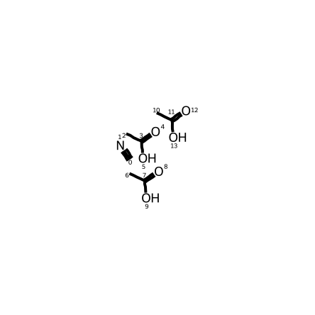 C#N.CC(=O)O.CC(=O)O.CC(=O)O